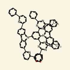 Cc1ccc2c(c1)c1cc(C)ccc1n2-c1c(-c2nc(-c3ccccc3)nc(-c3ccccc3)n2)cc(-n2c3cc(-c4cccc(-c5ccccc5)n4)ccc3c3ccc(-c4cccc(-c5ccccc5)n4)cc32)cc1-c1nc(-c2ccccc2)nc(-c2ccccc2)n1